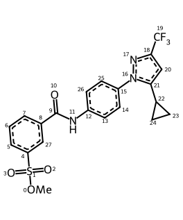 COS(=O)(=O)c1cccc(C(=O)Nc2ccc(-n3nc(C(F)(F)F)cc3C3CC3)cc2)c1